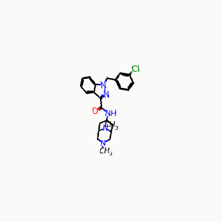 CN1CC2CC(NC(=O)c3nn(Cc4cccc(Cl)c4)c4ccccc34)CC(C1)N2C